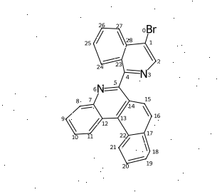 Brc1cnc(-c2nc3ccccc3c3c2ccc2ccccc23)c2ccccc12